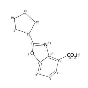 O=C(O)c1cccc2oc(C3CCCC3)nc12